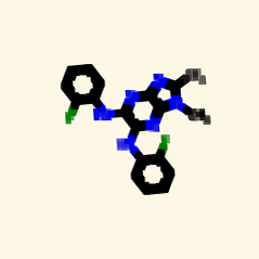 Cn1c(C(F)(F)F)nc2nc(Nc3ccccc3F)c(Nc3ccccc3F)nc21